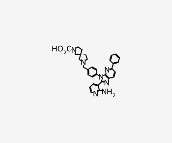 Nc1ncccc1-c1nc2ccc(-c3ccccc3)nc2n1-c1ccc(CN2CC[C@]3(CCN(C(=O)O)C3)C2)cc1